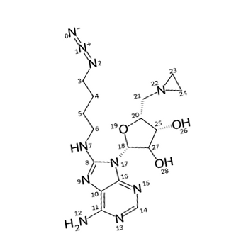 [N-]=[N+]=NCCCCNc1nc2c(N)ncnc2n1[C@@H]1O[C@H](CN2CC2)[C@H](O)C1O